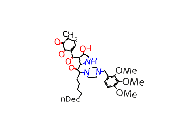 C=C1CC=C(C(=O)C2C(O)CNC2C(=O)C(CCCCCCCCCCCCCC)N2CCN(Cc3ccc(OC)c(OC)c3OC)CC2)C(=O)C1=O